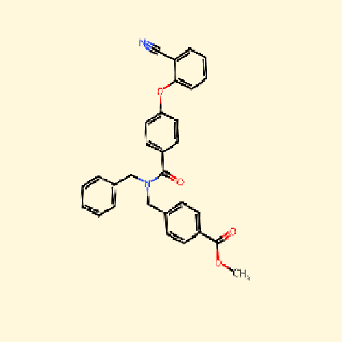 COC(=O)c1ccc(CN(Cc2ccccc2)C(=O)c2ccc(Oc3ccccc3C#N)cc2)cc1